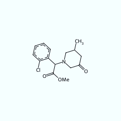 COC(=O)C(c1ccccc1Cl)N1CC(=O)CC(C)C1